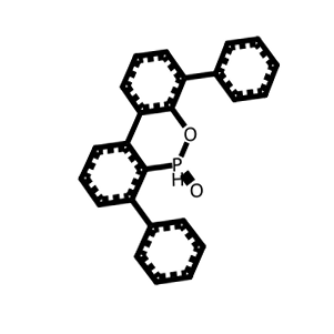 O=[PH]1Oc2c(-c3ccccc3)cccc2-c2cccc(-c3ccccc3)c21